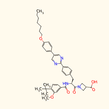 CCCCCCCOc1ccc(-c2cnc(-c3ccc(C[C@H](NC(=O)c4ccc(C(C)(C)C)c(OC)c4)C(=O)N4CC(C(=O)O)C4)cc3)nc2)cc1